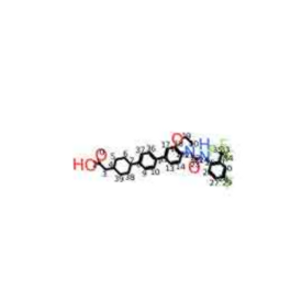 O=C(O)CC1CCC(c2ccc(-c3ccc4c(c3)OCCN4C(=O)Nc3ccc(F)cc3C(F)(F)F)cc2)CC1